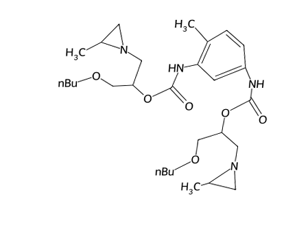 CCCCOCC(CN1CC1C)OC(=O)Nc1ccc(C)c(NC(=O)OC(COCCCC)CN2CC2C)c1